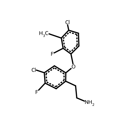 Cc1c(Cl)ccc(Oc2cc(Cl)c(F)cc2CCN)c1F